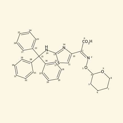 O=C(O)C(=NOC1CCCCO1)c1csc(NC(c2ccccc2)(c2ccccc2)c2ccccc2)n1